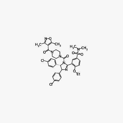 CCOc1ccc(S(=O)(=O)N(C)C)cc1C1=NC(c2ccc(Cl)cc2)[C@H](c2ccc(Cl)cc2)N1C(=O)N1CCN(C(=O)c2c(C)noc2C)CC1